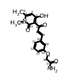 Cc1cc(O)c(C(=O)/C=C/c2cccc(OCC(N)=O)c2)c(=O)n1C